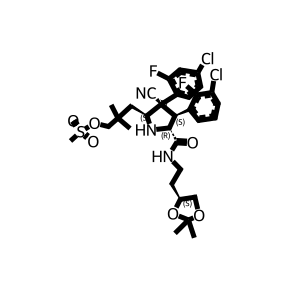 CC(C)(COS(C)(=O)=O)C[C@@H]1N[C@@H](C(=O)NCC[C@H]2COC(C)(C)O2)[C@H](c2cccc(Cl)c2F)[C@@]1(C#N)c1ccc(Cl)cc1F